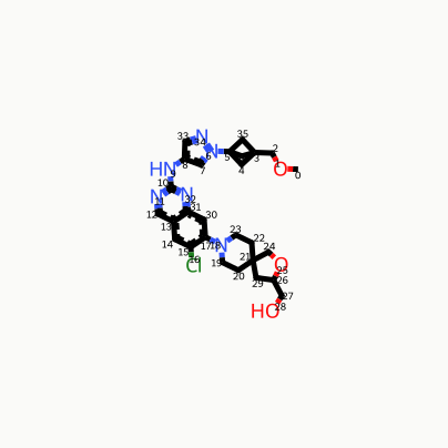 COCC12CC(n3cc(Nc4ncc5cc(Cl)c(N6CCC7(CC6)COC(CO)C7)cc5n4)cn3)(C1)C2